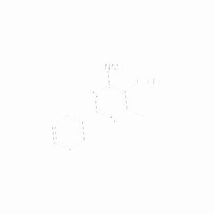 CCOC(=O)c1c(C)nc(-c2ccccc2)nc1NC